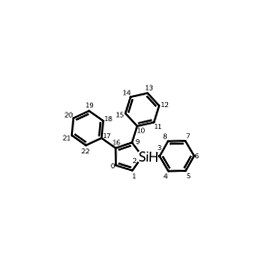 C1=C[SiH](c2ccccc2)C(c2ccccc2)=C1c1ccccc1